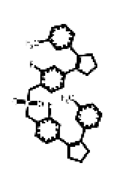 O=S(=O)(Cc1ccc(C2=C(c3cccc(C(F)(F)F)c3)CCC2)cc1F)Cc1ccc(C2=C(c3cccc(C(F)(F)F)c3)CCC2)cc1F